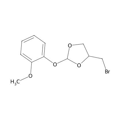 COc1ccccc1OC1OCC(CBr)O1